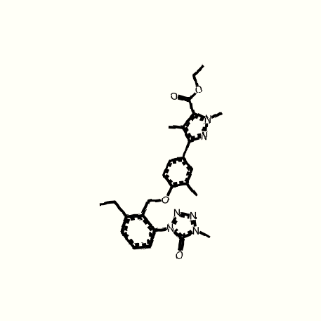 CCOC(=O)c1c(C)c(-c2ccc(OCc3c(CC)cccc3-n3nnn(C)c3=O)c(C)c2)nn1C